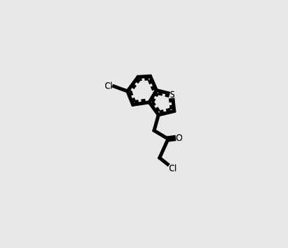 O=C(CCl)Cc1csc2ccc(Cl)cc12